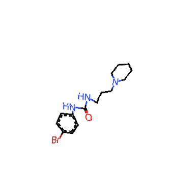 O=C(NCCCN1CCCCC1)Nc1ccc(Br)cc1